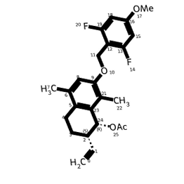 C=C[C@@H]1CCc2c(C)cc(OCc3c(F)cc(OC)cc3F)c(C)c2[C@@H]1OC(C)=O